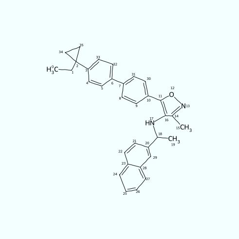 CCC1(c2ccc(-c3ccc(-c4onc(C)c4NC(C)c4ccc5ccccc5c4)cc3)cc2)CC1